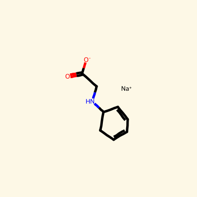 O=C([O-])CNC1C=CC=CC1.[Na+]